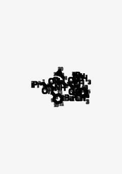 CC(C)C[C@H](O)[C@H](O)[C@H](CC1CCCCC1)NC(=O)[C@H](CC1CC1)C[C@H](O[Si](C)(C)C(C)(C)C)[C@@H](Cc1ccccc1)O[Si](C)(C)C(C)(C)C